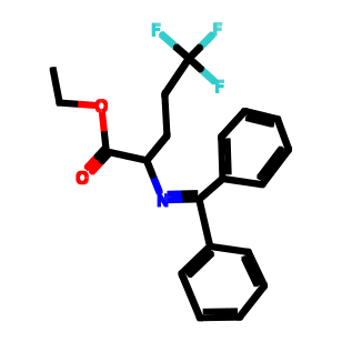 CCOC(=O)C(CCC(F)(F)F)N=C(c1ccccc1)c1ccccc1